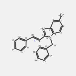 Brc1ccc2c(c1)nc(/C=C/c1ccccc1)n2Cc1ccccc1